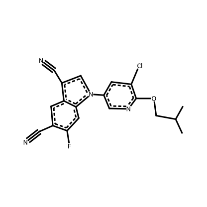 CC(C)COc1ncc(-n2cc(C#N)c3cc(C#N)c(F)cc32)cc1Cl